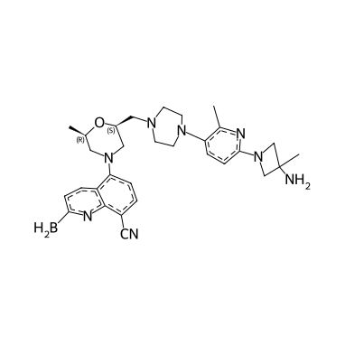 Bc1ccc2c(N3C[C@H](CN4CCN(c5ccc(N6CC(C)(N)C6)nc5C)CC4)O[C@H](C)C3)ccc(C#N)c2n1